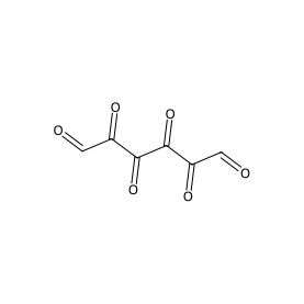 O=CC(=O)C(=O)C(=O)C(=O)C=O